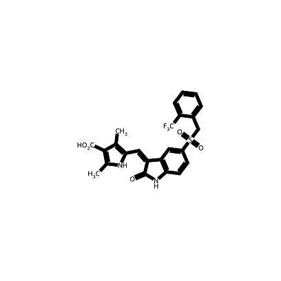 Cc1[nH]c(/C=C2\C(=O)Nc3ccc(S(=O)(=O)Cc4ccccc4C(F)(F)F)cc32)c(C)c1C(=O)O